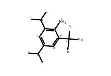 CC(C)c1cc(C(C)C)c(N)c(C(F)(F)F)c1